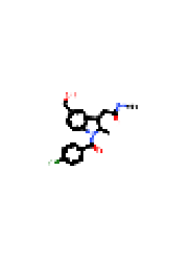 CC(C)NC(=O)CC1c2cc(CO)ccc2N(C(=O)c2ccc(Cl)cc2)C1C